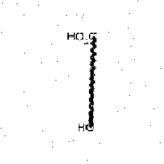 O=C(O)CCCCCCCCCCCCCC/C=C/CCCCCCCCCO